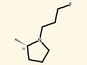 C[C@H]1CCCN1CCCF